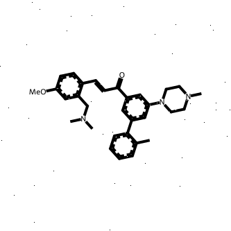 COc1ccc(/C=C/C(=O)c2cc(-c3ccccc3C)cc(N3CCN(C)CC3)c2)c(CN(C)C)c1